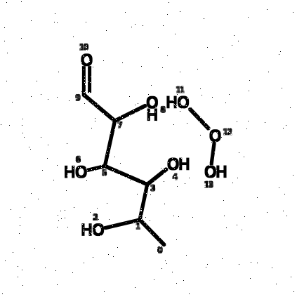 CC(O)C(O)C(O)C(O)C=O.OOO